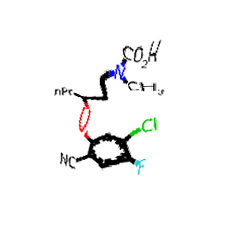 CCCC(CCN(C)C(=O)O)Oc1cc(Cl)c(F)cc1C#N